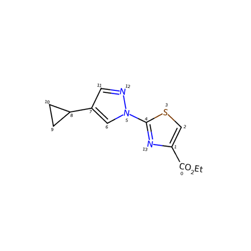 CCOC(=O)c1csc(-n2cc(C3CC3)cn2)n1